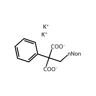 CCCCCCCCCCC(C(=O)[O-])(C(=O)[O-])c1ccccc1.[K+].[K+]